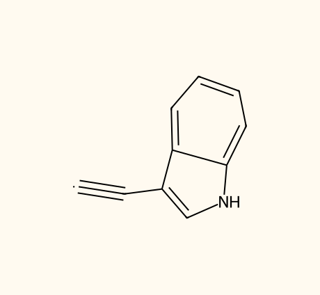 [C]#Cc1c[nH]c2ccccc12